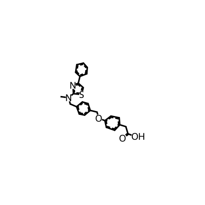 CN(Cc1ccc(COc2ccc(CC(=O)O)cc2)cc1)c1nc(-c2ccccc2)cs1